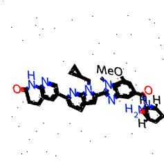 COc1cc(C(=O)N2C[C@H]3CC[C@@H]2[C@@H]3N)cc2nc(-c3cc4ccc(-c5cnc6c(c5)CCC(=O)N6)nc4n3CC3CC3)n(C)c12